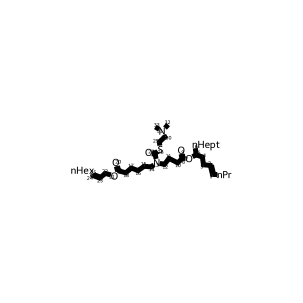 CCC/C=C/CCC(CCCCCCC)OC(=O)CCCN(CCCCCC(=O)OC/C=C\CCCCCC)C(=O)SCCN(C)C